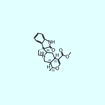 COC(=O)C1=CO[C@@H](C)[C@@H]2CN3CC[C@]4(C(=O)Nc5ccccc54)[C@H]3C[C@H]12